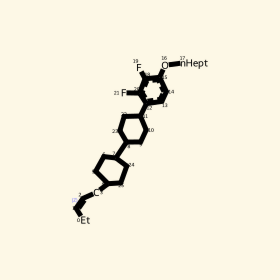 CC/C=C\CC1CCC(C2CCC(c3ccc(OCCCCCCC)c(F)c3F)CC2)CC1